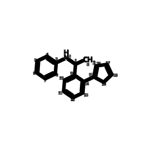 CC(Nc1ccccc1)c1ccccc1C1=CC=CC1